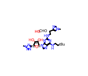 Cn1cnc(CCNc2nc(NCCC(C)(C)C)c3ncn([C@@H]4O[C@H](c5nnn(C)n5)[C@@H](O)[C@H]4O)c3n2)c1.O=CO